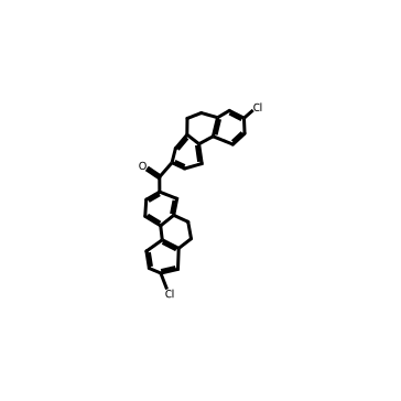 O=C(c1ccc2c(c1)CCc1cc(Cl)ccc1-2)c1ccc2c(c1)CCc1cc(Cl)ccc1-2